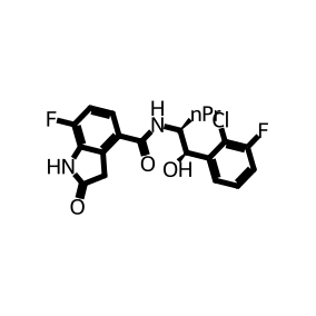 CCC[C@H](NC(=O)c1ccc(F)c2c1CC(=O)N2)[C@H](O)c1cccc(F)c1Cl